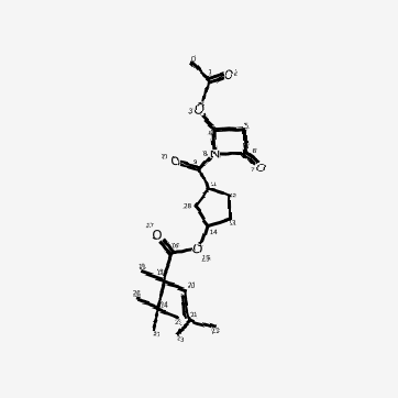 CC(=O)OC1CC(=O)N1C(=O)C1CCC(OC(=O)C(C)(C=C(C)C)C(C)(C)C)C1